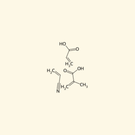 C=C(C)C(=O)O.C=CC#N.C=CC(=O)O